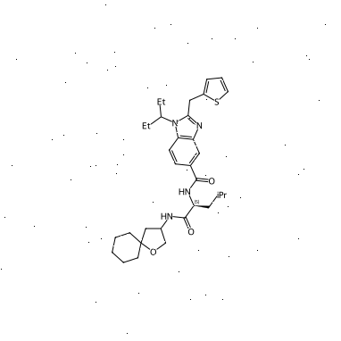 CCC(CC)n1c(Cc2cccs2)nc2cc(C(=O)N[C@@H](CC(C)C)C(=O)NC3COC4(CCCCC4)C3)ccc21